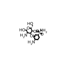 N[C@H]1C(O)O[C@H](CO)[C@@H](O)[C@@H]1O.Nc1ccc(S(N)(=O)=O)cc1